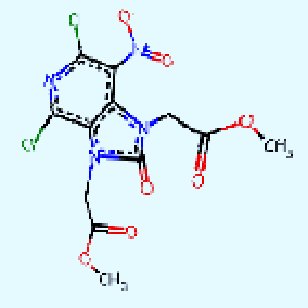 COC(=O)Cn1c(=O)n(CC(=O)OC)c2c([N+](=O)[O-])c(Cl)nc(Cl)c21